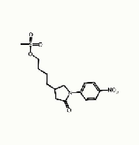 CS(=O)(=O)OCCCCC1CC(=O)N(c2ccc([N+](=O)[O-])cc2)C1